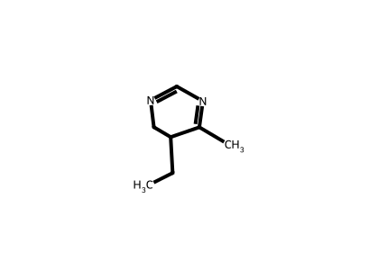 CCC1CN=CN=C1C